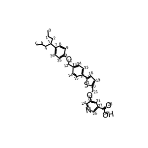 CCCC(CCC)c1ccc(OCc2ccc(-c3ccc(COc4cncc(C(=O)O)c4)s3)cc2)cc1